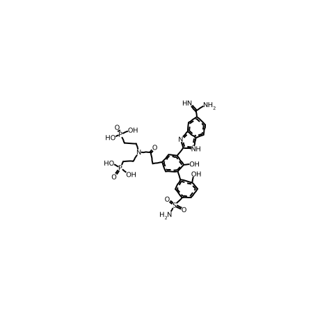 N=C(N)c1ccc2[nH]c(-c3cc(CC(=O)N(CCP(=O)(O)O)CCP(=O)(O)O)cc(-c4cc(S(N)(=O)=O)ccc4O)c3O)nc2c1